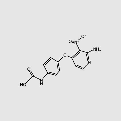 Nc1nccc(Oc2ccc(NC(=O)O)cc2)c1[N+](=O)[O-]